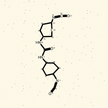 O=C=NC1CCC(NC(=O)NC2CCC(N=C=O)CC2)CC1